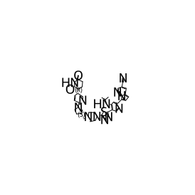 CC(C)Nc1cc(-c2ccc3cc(C#N)cnn23)ncc1-c1nnc(N2CCN(C[C@@H]3CCN(C4=NCC([C@H]5CCC(=O)NC5=O)C=C4)C3)CC2)s1